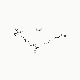 CCCCCCCCCCCCCCCCCC(=O)OCCOCCS(=O)(=O)[O-].[Na+]